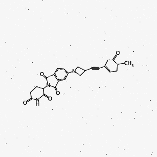 CC1CC=C(C#CC2CN(c3ccc4c(c3)C(=O)N(C3CCC(=O)NC3=O)C4=O)C2)CC1=O